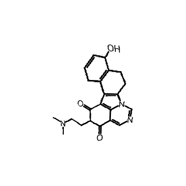 CN(C)CCC1C(=O)c2cncn3c4c(c(c23)C1=O)C1=C(CC4)C(O)C=CC1